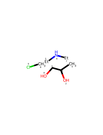 CC(O)CO.CCNCC.CCl